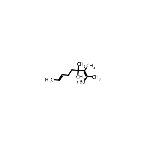 C[CH]CCC(C)=C(C)C(C)(C)CCC=CC